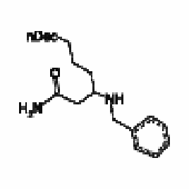 CCCCCCCCCCCCCC(CC(N)=O)NCc1ccccc1